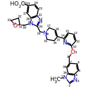 Cn1cnc2ccc(COc3cccc(C4=CCN(Cc5nc6ccc(C(=O)O)cc6n5C[C@@H]5CCO5)CC4)n3)cc21